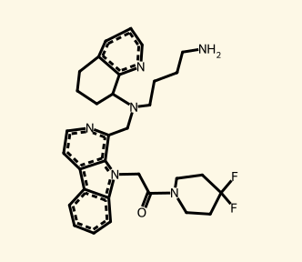 NCCCCN(Cc1nccc2c3ccccc3n(CC(=O)N3CCC(F)(F)CC3)c12)C1CCCc2cccnc21